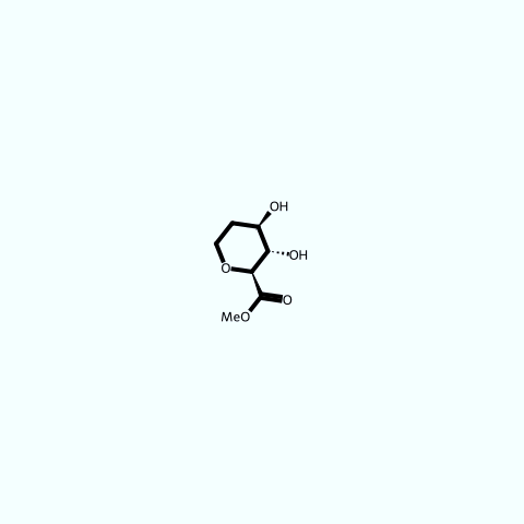 COC(=O)[C@H]1OCC[C@@H](O)[C@@H]1O